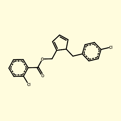 O=C(OCC1=CC=CC1Cc1ccc(Cl)cc1)c1ccccc1Cl